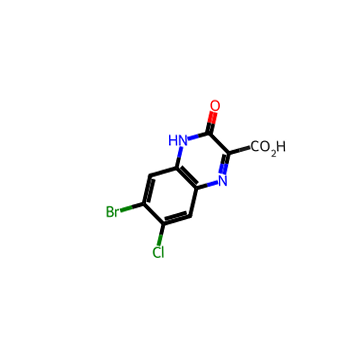 O=C(O)c1nc2cc(Cl)c(Br)cc2[nH]c1=O